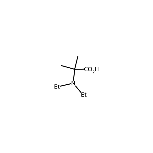 CCN(CC)C(C)(C)C(=O)O